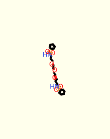 O=S(=O)(NCCCOCCOCCOCCCNS(=O)(=O)c1ccccc1)c1ccccc1